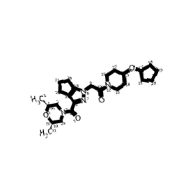 C[C@@H]1CN(C(=O)c2nn(CC(=O)N3CCC(OC4CCCC4)CC3)c3c2CCC3)C[C@H](C)O1